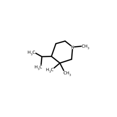 CC(C)C1CCN(C)CC1(C)C